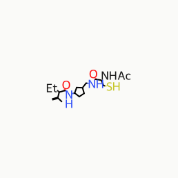 C=C(C)C(CC)C(=O)NC1CCC(CNC(=O)C(CS)NC(C)=O)C1